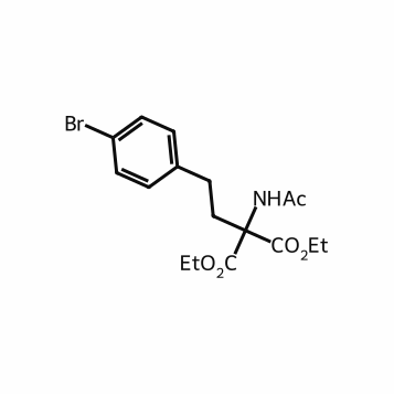 CCOC(=O)C(CCc1ccc(Br)cc1)(NC(C)=O)C(=O)OCC